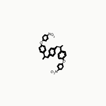 CC(C=c1ccc(=CC(C)c2ccc(Oc3ccc([N+](=O)[O-])cc3)cc2)cc1)c1ccc(Oc2ccc([N+](=O)[O-])cc2)cc1